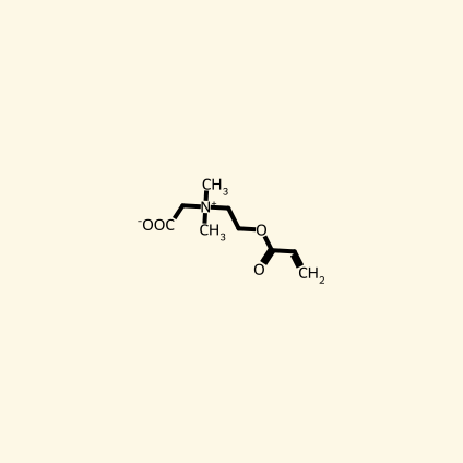 C=CC(=O)OCC[N+](C)(C)CC(=O)[O-]